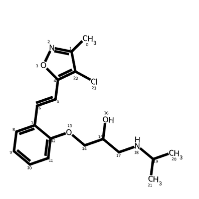 Cc1noc(C=Cc2ccccc2OCC(O)CNC(C)C)c1Cl